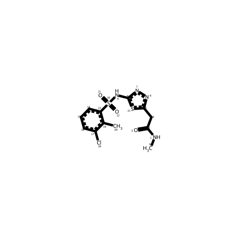 CNC(=O)Cc1nnc(NS(=O)(=O)c2cccc(Cl)c2C)s1